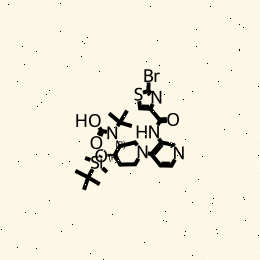 CC(C)(C)N(C(=O)O)[C@@H]1CN(c2ccncc2NC(=O)c2csc(Br)n2)CC[C@H]1O[Si](C)(C)C(C)(C)C